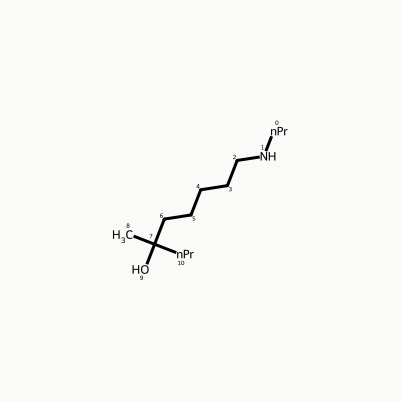 CCCNCCCCCC(C)(O)CCC